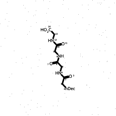 CCCCCCCCCCCC(=O)NCC(=O)NCC(=O)NCC(=O)O